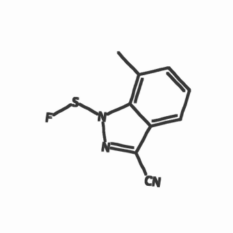 Cc1cccc2c(C#N)nn(SF)c12